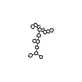 c1ccc(-c2cc(-c3ccccc3)cc(-c3ccc(-c4ccc(-c5ccc(-c6cc7c(sc8ccc9ccccc9c87)c7nc8c9cc%10ccccc%10cc9ccc8n67)cc5)c5ccccc45)cc3)c2)cc1